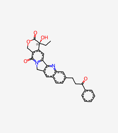 CC[C@@]1(O)C(=O)OCc2c1cc1n(c2=O)Cc2cc3ccc(CCC(=O)c4ccccc4)cc3nc2-1